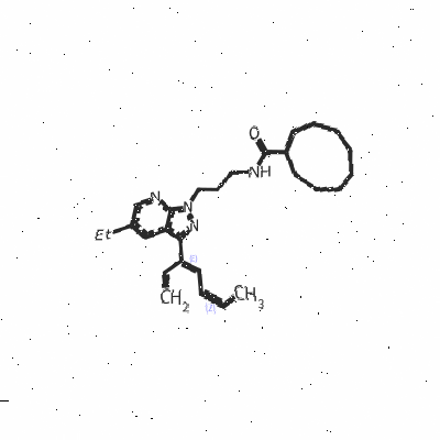 C=C/C(=C\C=C/C)c1nn(CCCNC(=O)C2CCCCCCCC2)c2ncc(CC)cc12